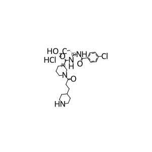 Cl.O=C(O)C[C@H](NC(=O)c1ccc(Cl)cc1)NC(=O)[C@@H]1CCCN(C(=O)CCC2CCNCC2)C1